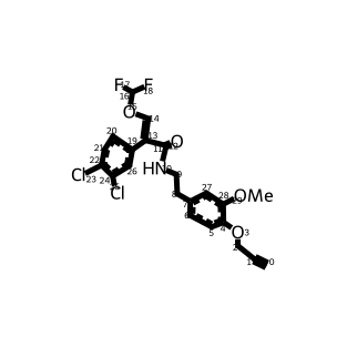 C#CCOc1ccc(CCNC(=O)C(=COC(F)F)c2ccc(Cl)c(Cl)c2)cc1OC